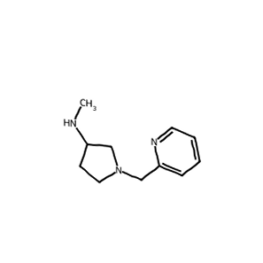 CNC1CCN(Cc2ccccn2)C1